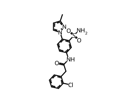 Cc1ccn(-c2ccc(NC(=O)Cc3ccccc3Cl)cc2S(N)(=O)=O)n1